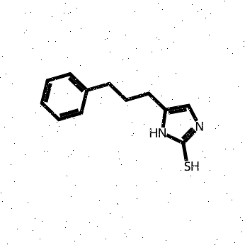 Sc1ncc(CCCc2ccccc2)[nH]1